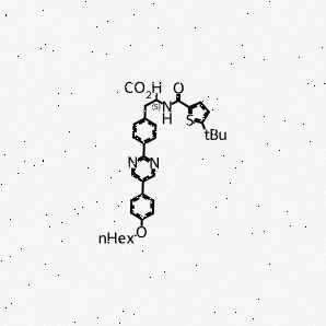 CCCCCCOc1ccc(-c2cnc(-c3ccc(C[C@H](NC(=O)c4ccc(C(C)(C)C)s4)C(=O)O)cc3)nc2)cc1